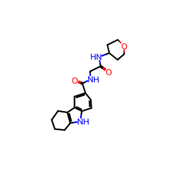 O=C(CNC(=O)c1ccc2[nH]c3c(c2c1)CCCC3)NC1CCOCC1